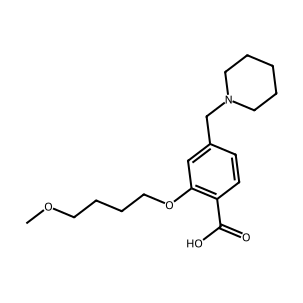 COCCCCOc1cc(CN2CCCCC2)ccc1C(=O)O